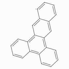 [c]1cccc2cc3c4ccccc4c4ccccc4c3cc12